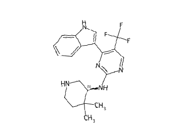 CC1(C)CCNC[C@H]1Nc1ncc(C(F)(F)F)c(-c2c[nH]c3ccccc23)n1